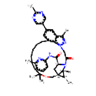 CC(=O)c1nn2c3c(cc(-c4cnc(C)nc4)cc13)CCCCCCC(C)(C)OC[C@@]13C[C@@H](C(=O)Nc4cccc(C(F)(F)F)n4)N(C(=O)C2)[C@@H]1[C@@H]3C